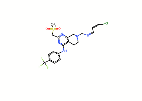 CS(=O)(=O)Cc1nc2c(c(Nc3ccc(C(F)(F)F)cc3)n1)CCN(C/N=C\C=C/CCl)C2